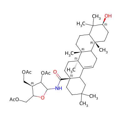 CC(=O)OCC1OC(NC(=O)[C@]23CCC(C)(C)CC2C2=CCC4[C@@]5(C)CC[C@H](O)C(C)(C)C5CC[C@@]4(C)[C@]2(C)CC3)C(OC(C)=O)[C@@H]1COC(C)=O